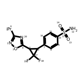 CC(C)c1noc(C2C(c3ccc(S(N)(=O)=O)cc3)C2(F)F)n1